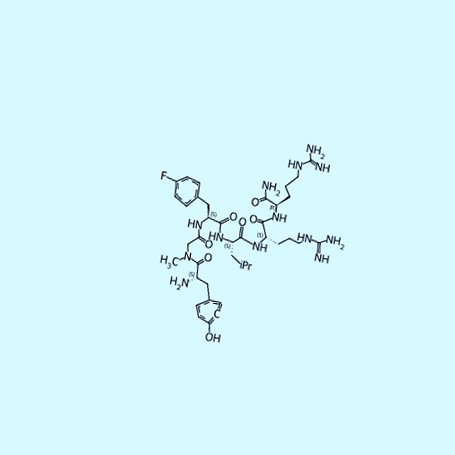 CC(C)C[C@H](NC(=O)[C@H](Cc1ccc(F)cc1)NC(=O)CN(C)C(=O)[C@@H](N)Cc1ccc(O)cc1)C(=O)N[C@@H](CCCNC(=N)N)C(=O)N[C@H](CCCNC(=N)N)C(N)=O